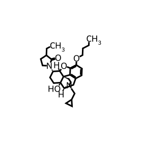 CCCCOc1ccc2c3c1O[C@H]1[C@@H](N4CCC(CC)C4=O)CC[C@@]4(O)[C@@H](C2)N(CC2CC2)CC[C@]314